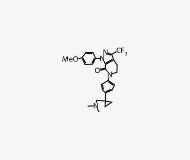 COc1ccc(-n2nc(C(F)(F)F)c3c2C(=O)N(c2ccc(C4(CN(C)C)CC4)cc2)CC3)cc1